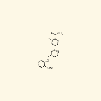 CSc1ccccc1OCc1ccnc(-c2ccc(C(N)=O)c(C)c2)c1